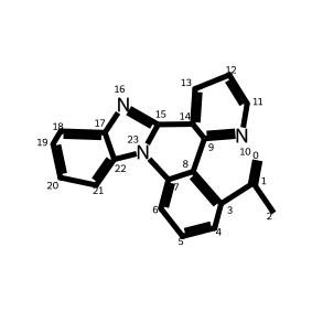 C=C(C)c1cccc2c1c1ncccc1c1nc3ccccc3n21